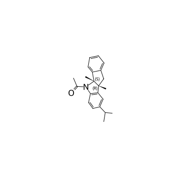 CC(=O)N1c2ccc(C(C)C)cc2[C@@]2(C)Cc3ccccc3[C@@]12C